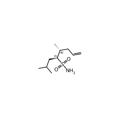 C=CC[C@@H](C)[C@H](CC(C)C)S(N)(=O)=O